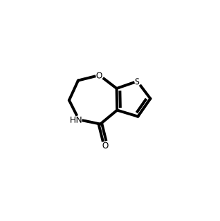 O=C1NCCOc2sccc21